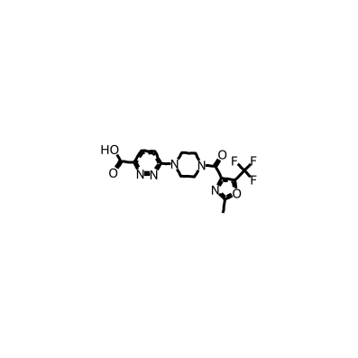 Cc1nc(C(=O)N2CCN(c3ccc(C(=O)O)nn3)CC2)c(C(F)(F)F)o1